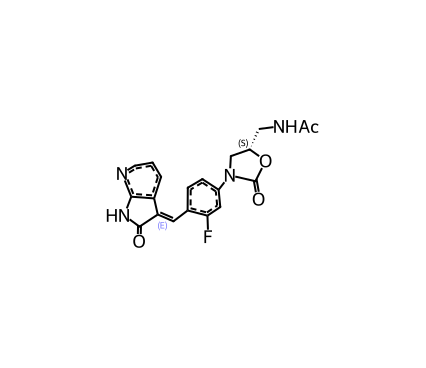 CC(=O)NC[C@H]1CN(c2ccc(/C=C3/C(=O)Nc4ncccc43)c(F)c2)C(=O)O1